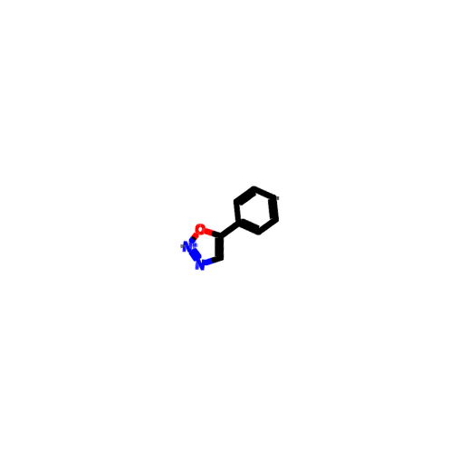 [c]1ccc(C2=CN=[N+]O2)cc1